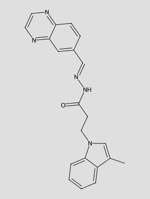 Cc1cn(CCC(=O)NN=Cc2ccc3nccnc3c2)c2ccccc12